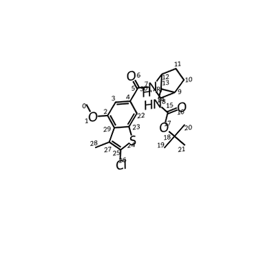 COc1cc(C(=O)N2CC3CCC2[C@@H]3NC(=O)OC(C)(C)C)cc2sc(Cl)c(C)c12